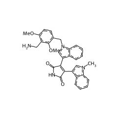 COc1ccc(Cn2cc(C3=C(c4cn(C)c5ccccc45)C(=O)NC3=O)c3ccccc32)c(OC)c1CN